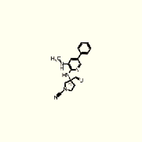 CNc1cc(-c2ccccc2)cnc1N[C@@]1(C=O)CCN(C#N)C1